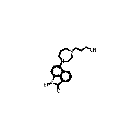 CCN1C(=O)c2cccc3c(N4CCCN(CCCC#N)CC4)ccc1c23